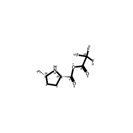 C[C@H]1CC[C@@H](C(=O)OC(=O)C(F)(F)F)N1